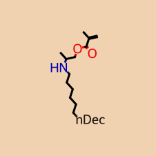 C=C(C)C(=O)OCC(C)NCCCCCCCCCCCCCCCC